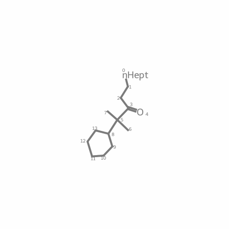 CCCCCCCCCC(=O)C(C)(C)C1CCCCC1